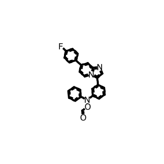 O=CON(c1ccccc1)c1cccc(-c2cnc3cc(-c4ccc(F)cc4)ccn23)c1